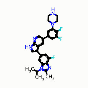 Cc1nc2c(F)cc(-c3c[nH]c4ncc(-c5cc(F)c(F)c(N6CCNCC6)c5)cc34)cc2n1C(C)C